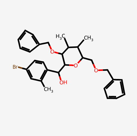 Cc1cc(Br)ccc1C(O)C1OC(COCc2ccccc2)C(C)C(C)C1OCc1ccccc1